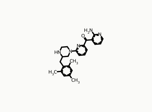 Cc1cc(C)c(CC2CN(c3cccc(C(=O)c4cccnc4N)n3)CCN2)c(C)c1